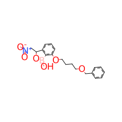 O=[N+]([O-])CC1OB(O)c2c(OCCCCOCc3ccccc3)cccc21